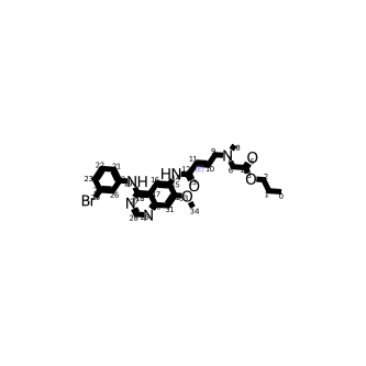 CCCOC(=O)CN(C)C/C=C/C(=O)Nc1cc2c(Nc3cccc(Br)c3)ncnc2cc1OC